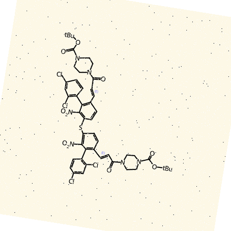 CC(C)(C)OC(=O)N1CCN(C(=O)/C=C/c2ccc(Sc3ccc(/C=C/C(=O)N4CCN(C(=O)OC(C)(C)C)CC4)c(-c4ccc(Cl)cc4Cl)c3[N+](=O)[O-])c([N+](=O)[O-])c2-c2ccc(Cl)cc2Cl)CC1